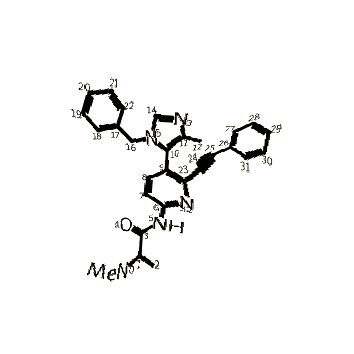 CNC(C)C(=O)Nc1ccc(-c2c(C)ncn2Cc2ccccc2)c(C#Cc2ccccc2)n1